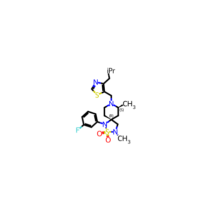 CC(C)Cc1ncsc1CN1CC[C@@]2(C[C@@H]1C)CN(C)S(=O)(=O)N2c1cccc(F)c1